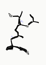 C=C(C#N)/C=C(\C)C/C(N=C(C)C)=C(/C)Br